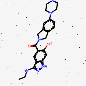 CCNc1n[nH]c2cc(O)c(C(=O)N3Cc4ccc(N5CCNCC5)cc4C3)cc12